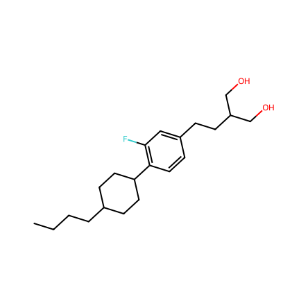 CCCCC1CCC(c2ccc(CCC(CO)CO)cc2F)CC1